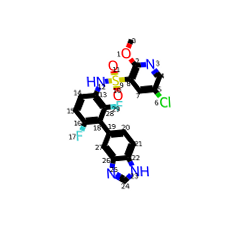 COc1ncc(Cl)cc1S(=O)(=O)Nc1ccc(F)c(-c2ccc3[nH]cnc3c2)c1F